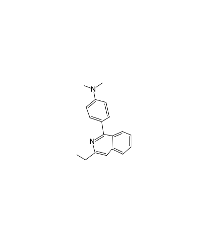 CCc1cc2ccccc2c(-c2ccc(N(C)C)cc2)n1